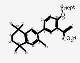 C=C(C(=O)O)c1cc(-c2cc3c(cc2C)C(C)(C)CCC3(C)C)ccc1OCCCCCCC